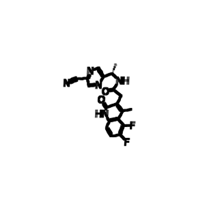 Cc1c(CC(=O)N[C@@H](C)c2cnc(C#N)cn2)c(=O)[nH]c2ccc(F)c(F)c12